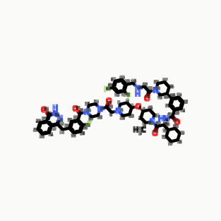 C[C@@H]1C[C@H](OC2CCN(CC(=O)N3CCN(C(=O)c4cc(Cc5n[nH]c(=O)c6ccccc56)ccc4F)CC3)CC2)CCN1C(=O)[C@H](NC(=O)c1cccc([C@@H]2CCCN(C(=O)CNCc3ccc(F)cc3F)C2)c1)C1CCCCC1